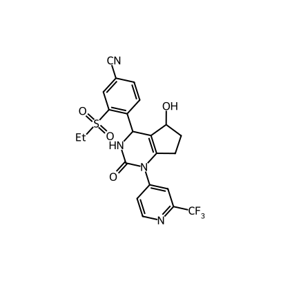 CCS(=O)(=O)c1cc(C#N)ccc1C1NC(=O)N(c2ccnc(C(F)(F)F)c2)C2=C1C(O)CC2